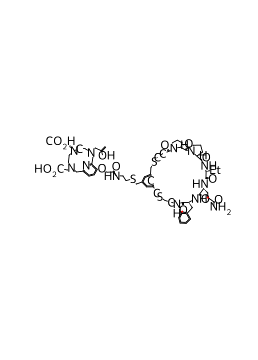 C=C(O)CN1CCN(CC(=O)O)CCN(CC(=O)O)Cc2ccc(OCC(=O)NCCSCc3cc4cc(c3)CSCCC(=O)N3CCC[C@H]3C(=O)N3CCC[C@H]3C(=O)N[C@@H](CC)C(=O)N[C@@H](CCC(N)=O)C(=O)N[C@@H](Cc3ccccc3)C(=O)NCCSC4)c(n2)C1